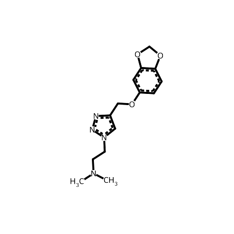 CN(C)CCn1cc(COc2ccc3c(c2)OCO3)nn1